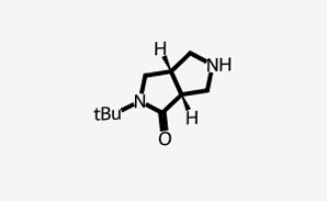 CC(C)(C)N1C[C@@H]2CNC[C@@H]2C1=O